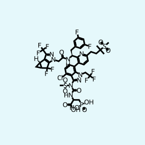 CC(C)(CCc1ccc(-c2ccc(Cl)c3c(N(C(=O)NC(CP(=O)(O)O)C(=O)O)S(C)(=O)=O)nn(CC(F)(F)F)c23)c([C@H](Cc2cc(F)cc(F)c2)NC(=O)Cn2nc(C(F)(F)F)c3c2C(F)(F)C2C[C@H]32)n1)S(C)(=O)=O